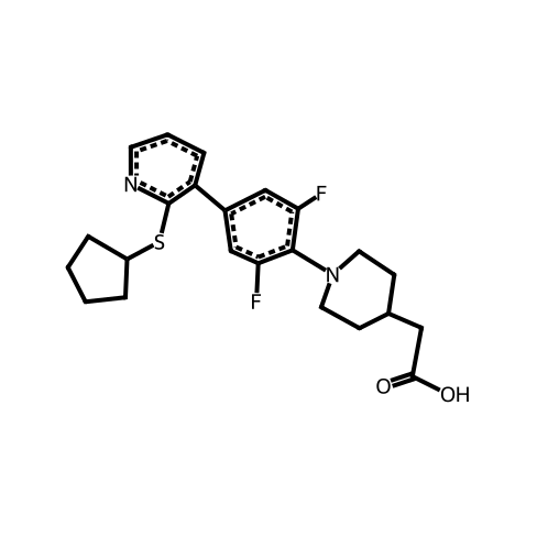 O=C(O)CC1CCN(c2c(F)cc(-c3cccnc3SC3CCCC3)cc2F)CC1